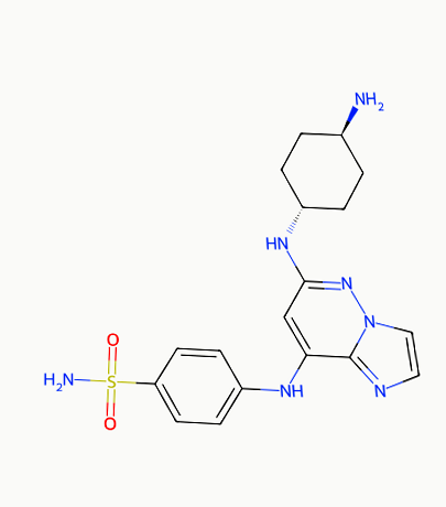 NS(=O)(=O)c1ccc(Nc2cc(N[C@H]3CC[C@H](N)CC3)nn3ccnc23)cc1